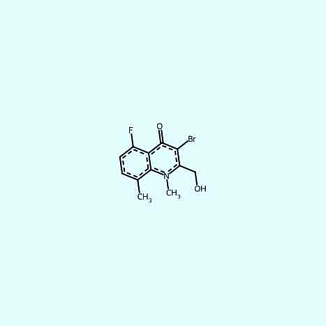 Cc1ccc(F)c2c(=O)c(Br)c(CO)n(C)c12